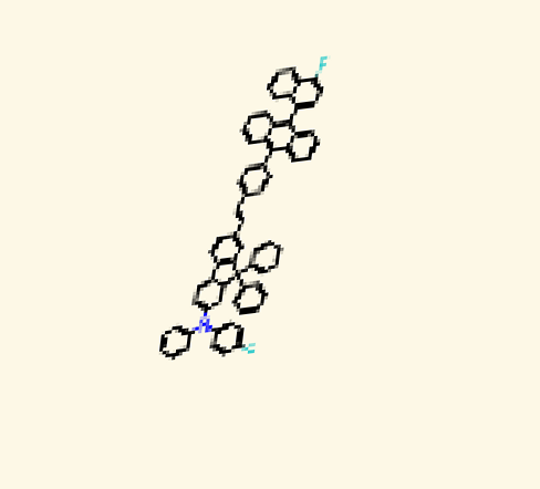 Fc1ccc(N(c2ccccc2)c2ccc3c(c2)C(c2ccccc2)(c2ccccc2)c2cc(/C=C/c4ccc(-c5c6ccccc6c(-c6ccc(F)c7ccccc67)c6ccccc56)cc4)ccc2-3)cc1